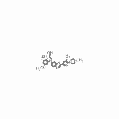 COc1cc(OC)cc(N(CCCO)c2ccc3ncc(-c4cnc(N5CCN(C)CC5)c(C)c4)nc3c2)c1